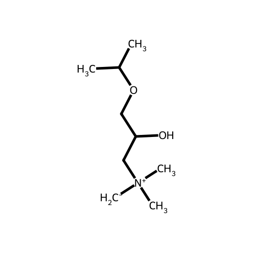 [CH2-][N+](C)(C)CC(O)COC(C)C